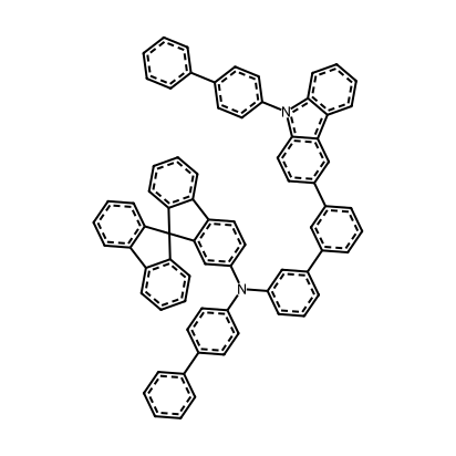 c1ccc(-c2ccc(N(c3cccc(-c4cccc(-c5ccc6c(c5)c5ccccc5n6-c5ccc(-c6ccccc6)cc5)c4)c3)c3ccc4c(c3)C3(c5ccccc5-c5ccccc53)c3ccccc3-4)cc2)cc1